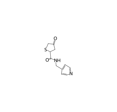 O=C1CSC(C(=O)NCc2ccncc2)C1